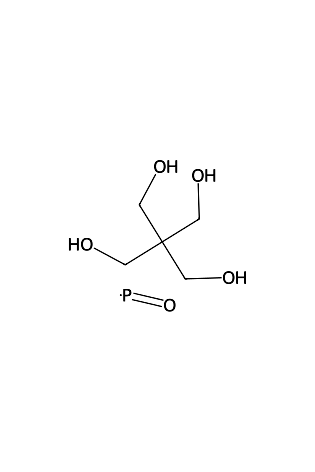 O=[P].OCC(CO)(CO)CO